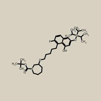 CC(C)[Si](Oc1cc(O)c2c(CCCCCOC3CCCCN(C(=O)OC(C)(C)C)C3)c(F)ccc2c1)(C(C)C)C(C)C